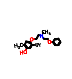 Cc1cc(OCCN(C)CCOc2ccccc2)c(C(C)C)cc1O